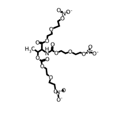 CC(OC(=O)OCCOCCO[N+](=O)[O-])C(NC(=O)OCCOCCO[N+](=O)[O-])C(=O)OCCOCCO[N+](=O)[O-]